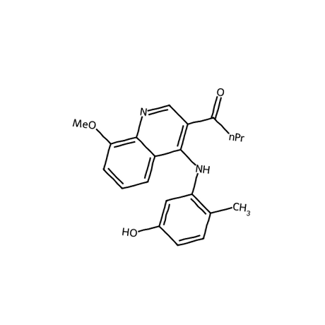 CCCC(=O)c1cnc2c(OC)cccc2c1Nc1cc(O)ccc1C